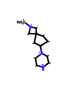 CCOC(=O)N1CC2(CCC(N3CCNCC3)C2)C1